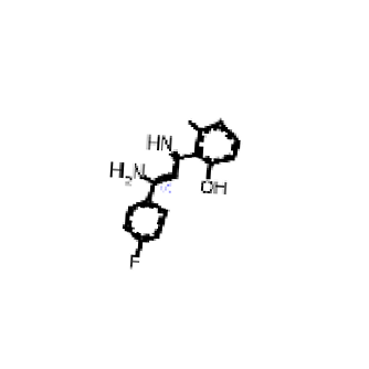 Cc1cccc(O)c1C(=N)/C=C(\N)c1ccc(F)cc1